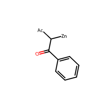 CC(=O)[CH]([Zn])C(=O)c1ccccc1